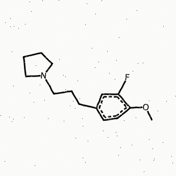 COc1ccc(CCCN2CCCC2)cc1F